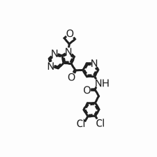 O=C(Cc1ccc(Cl)c(Cl)c1)Nc1cncc(C(=O)c2cn(C3COC3)c3ncncc23)c1